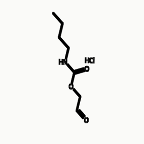 CCCCNC(=O)OCC=O.Cl